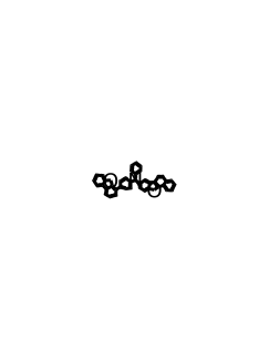 c1ccc(N(c2ccc(-c3cccc4c3oc3ccccc34)cc2)c2ccc3oc4c5ccccc5ccc4c3c2)cc1